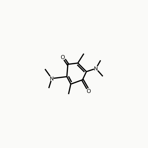 CC1=C(N(C)C)C(=O)C(C)=C(N(C)C)C1=O